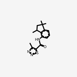 Cc1nnsc1C(=O)Nc1cccc2c1C(C)CC2(C)C